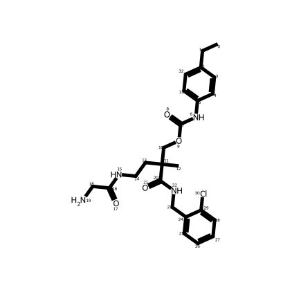 CCc1ccc(NC(=O)OCC(C)(CCNC(=O)CN)C(=O)NCc2ccccc2Cl)cc1